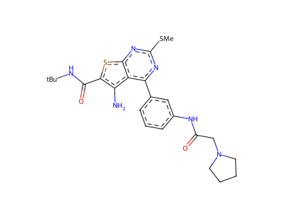 CSc1nc(-c2cccc(NC(=O)CN3CCCC3)c2)c2c(N)c(C(=O)NC(C)(C)C)sc2n1